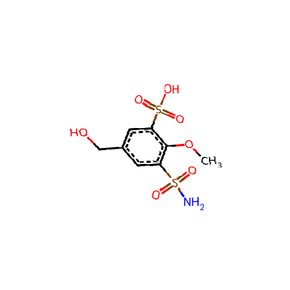 COc1c(S(N)(=O)=O)cc(CO)cc1S(=O)(=O)O